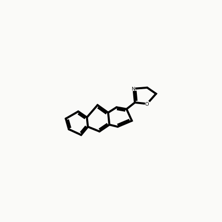 c1ccc2cc3cc(C4=NCCO4)ccc3cc2c1